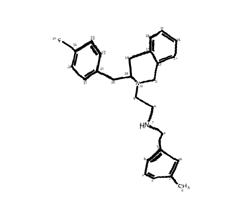 Cc1cccc(CNCCN2Cc3ccccc3CC2Cc2ccc(F)cc2)c1